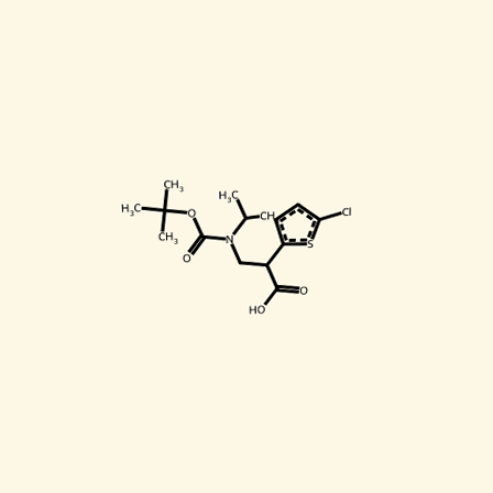 CC(C)N(CC(C(=O)O)c1ccc(Cl)s1)C(=O)OC(C)(C)C